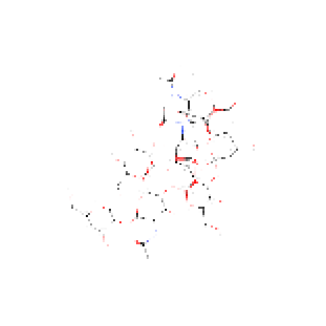 CC(=O)NC1C(OC2[C@@H](OCC3O[C@@H](O[C@@H]4C(CO)O[C@@H](O[C@@H]5C(CO)O[C@@H](C)C(NC(C)=O)[C@H]5O)C(NC(C)=O)[C@H]4O)C(O)[C@@H](O)[C@@H]3O)OC(CO)[C@@H](O)[C@@H]2O)O[C@@H](CO)[C@@H](O[C@@H]2OC(CO)[C@H](O)[C@H](O[C@]3(OC=O)C[C@@H](O)[C@@H](C)C(C(O)[C@H](O)CO)O3)C2O)C1O